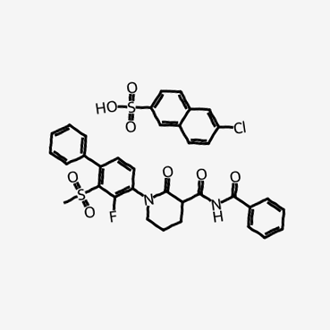 CS(=O)(=O)c1c(-c2ccccc2)ccc(N2CCCC(C(=O)NC(=O)c3ccccc3)C2=O)c1F.O=S(=O)(O)c1ccc2cc(Cl)ccc2c1